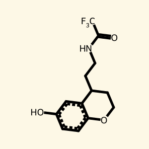 O=C(NCCC1CCOc2ccc(O)cc21)C(F)(F)F